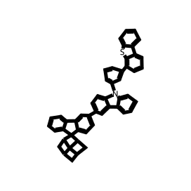 c1cc(-c2cccc3c2sc2ccccc23)cc(-n2c3ccccc3c3cc(-c4ccc5c(c4)-c4ccccc4C54C5CC6CC7CC4C675)ccc32)c1